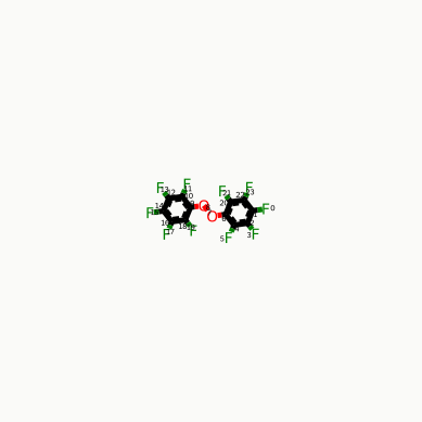 Fc1c(F)c(F)c(OOc2c(F)c(F)c(F)c(F)c2F)c(F)c1F